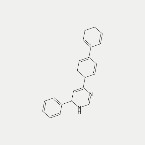 C1=CC(C2=CCC(C3=CC(c4ccccc4)NC=N3)C=C2)=CCC1